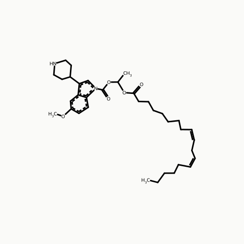 CCCCC/C=C\C/C=C\CCCCCCCC(=O)OC(C)OC(=O)n1cc(C2CCNCC2)c2cc(OC)ccc21